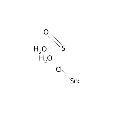 O.O.O=S.[Cl][Sn]